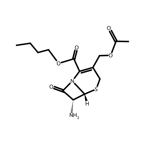 CCCCOC(=O)C1=C(COC(C)=O)CS[C@@H]2[C@H](N)C(=O)N12